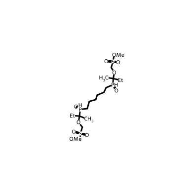 CCC(C)(OCS(=O)(=O)OC)[PH](=O)CCCCCC[PH](=O)C(C)(CC)OCS(=O)(=O)OC